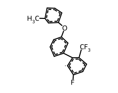 Cc1cccc(Oc2cccc(-c3[c]c(F)ccc3C(F)(F)F)c2)c1